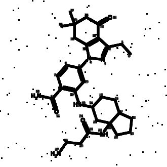 CCc1nn(-c2ccc(C(N)=O)c(NC3CC[C]4CCCC4(NC(=O)CCN)C3)c2)c2c1C(=O)CC(C)(C)C2